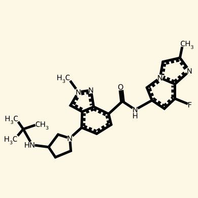 Cc1cn2cc(NC(=O)c3ccc(N4CCC(NC(C)(C)C)C4)c4cn(C)nc34)cc(F)c2n1